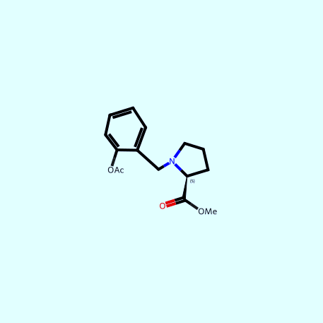 COC(=O)[C@@H]1CCCN1Cc1ccccc1OC(C)=O